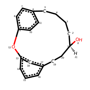 O[C@@H]1CCCCc2ccc(cc2)Oc2[c]ccc(c2)CC1